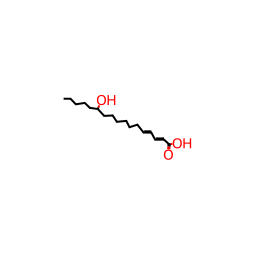 CCCCCC(O)CCCCCCC=CC=CC(=O)O